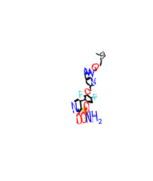 COc1nccc(-c2ccc(F)c(OCc3cnc4c(cnn4COCC[Si](C)(C)C)c3)c2F)c1S(N)(=O)=O